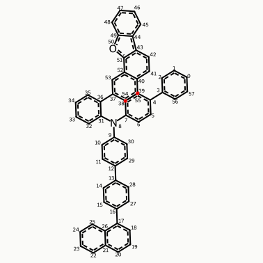 c1ccc(-c2ccc(N(c3ccc(-c4ccc(-c5cccc6ccccc56)cc4)cc3)c3ccccc3-c3ccc4ccc5c6ccccc6oc5c4c3)cc2)cc1